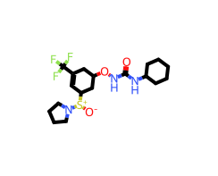 O=C(NOC1CC(C(F)(F)F)=CC([S+]([O-])N2CCCC2)C1)NC1CCCCC1